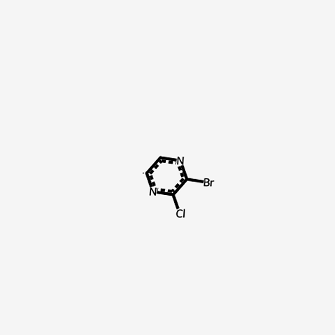 Clc1n[c]cnc1Br